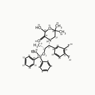 C[C@@H](O[Si](c1ccccc1)(c1ccccc1)C(C)(C)C)[C@@H](c1ccc(F)c(F)c1)N1CC(C)(C)OC(O)C1=O